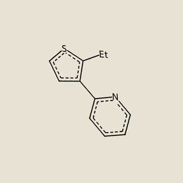 CCc1sccc1-c1ccccn1